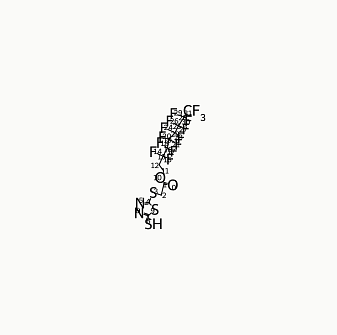 O=C(CSc1nnc(S)s1)OCCC(F)(F)C(F)(F)C(F)(F)C(F)(F)C(F)(F)C(F)(F)C(F)(F)F